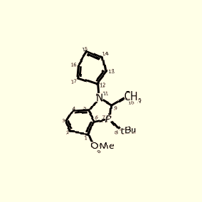 COc1cccc2c1P(C(C)(C)C)C(C)N2c1ccccc1